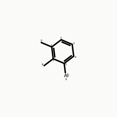 Cc1ccc[c]([Al])c1C